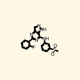 CS(=O)(=O)c1cccc(Nc2nc(-c3ccccc3F)nc3cn[nH]c23)c1